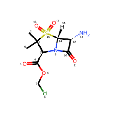 CC1(C)[C@H](C(=O)OCCl)N2C(=O)[C@@H](N)[C@H]2S1(=O)=O